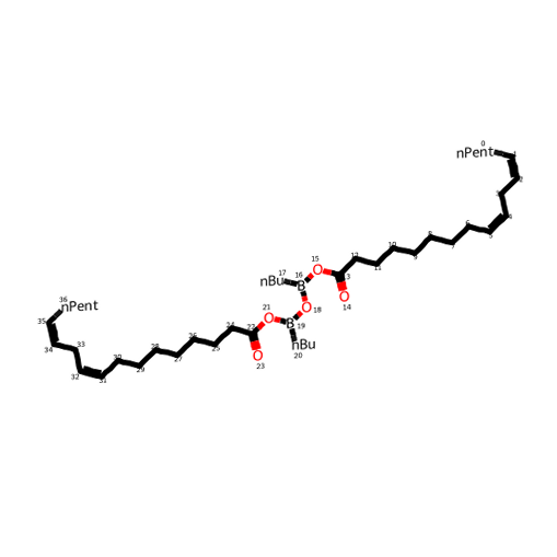 CCCCC/C=C\C/C=C\CCCCCCCC(=O)OB(CCCC)OB(CCCC)OC(=O)CCCCCCC/C=C\C/C=C\CCCCC